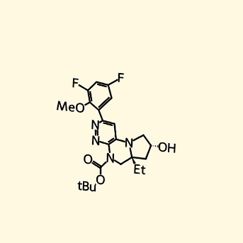 CC[C@]12C[C@@H](O)CN1c1cc(-c3cc(F)cc(F)c3OC)nnc1N(C(=O)OC(C)(C)C)C2